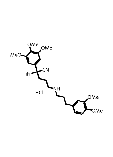 COc1ccc(CCCNCCCC(C#N)(c2cc(OC)c(OC)c(OC)c2)C(C)C)cc1OC.Cl